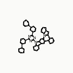 c1ccc(-c2cccc(-c3nc(-c4cccc(-c5ccccc5)c4)nc(-n4c5ccccc5c5cc6c7ccccc7c7cc8ccccc8n7c6cc54)n3)c2)cc1